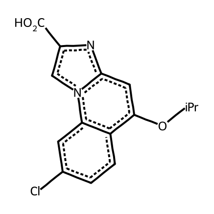 CC(C)Oc1cc2nc(C(=O)O)cn2c2cc(Cl)ccc12